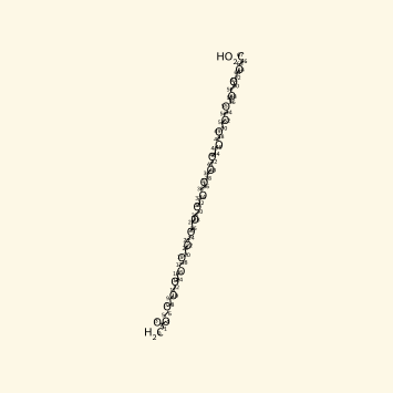 C=CC(=O)OCCOCCOCCOCCOCCOCCOCCOCCOCCOCCOCCOCCOCCOCCOCCOCCOCCOCCOCCOCCOCCC(=O)O